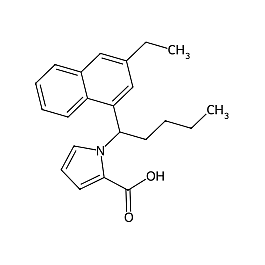 CCCCC(c1cc(CC)cc2ccccc12)n1cccc1C(=O)O